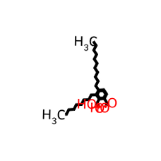 CCCCCCCCCCCc1ccc(C(=O)O)c(C(=O)O)c1CCCCCCCCC